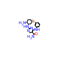 NC(=O)c1cnc(N[C@@H]2CCCC[C@@H]2N)nc1Nc1cccc(Br)c1